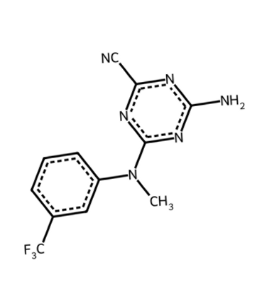 CN(c1cccc(C(F)(F)F)c1)c1nc(N)nc(C#N)n1